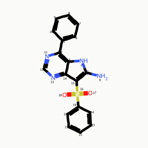 Nc1[nH]c2c(-c3ccccc3)ncnc2c1S(=O)(=O)c1ccccc1